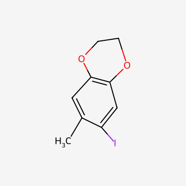 Cc1cc2c(cc1I)OCCO2